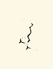 CCCCCCCCCCCCCN(C(O)CC)C(O)CC